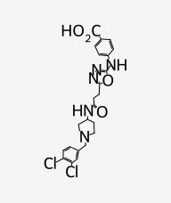 O=C(CCc1nnc(Nc2ccc(C(=O)O)cc2)o1)NC1CCN(Cc2ccc(Cl)c(Cl)c2)CC1